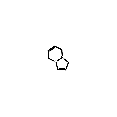 C1=CCN2CC=CB2C1